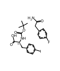 CC(C)(C)OC(=O)N[C@@H](Cc1ccc(I)cc1)C(=O)O.NC(=O)Cc1ccc(F)cc1